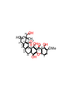 COc1ccc2oc3c(O)c4c(c(O)c3c(=O)c2c1O)-c1c(cc(CC(C)=O)c([C@@](C)(CO)C(=O)O)c1O)CC4